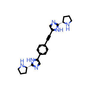 C(#Cc1cnc([C@@H]2CCCN2)[nH]1)c1ccc(-c2cnc([C@@H]3CCCN3)[nH]2)cc1